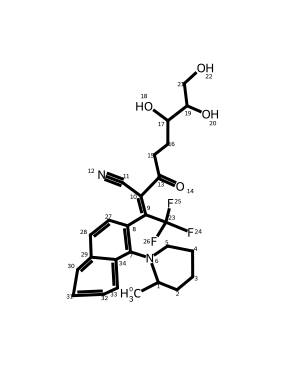 CC1CCCCN1c1c(/C(=C(\C#N)C(=O)CCC(O)C(O)CO)C(F)(F)F)ccc2ccccc12